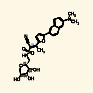 C/C(=C(/C#N)S(=O)(=O)NC[C@H]1OC[C@H](O)[C@@H](O)[C@@H]1O)c1ccc(-c2ccc3cc(N(C)C)ccc3c2)o1